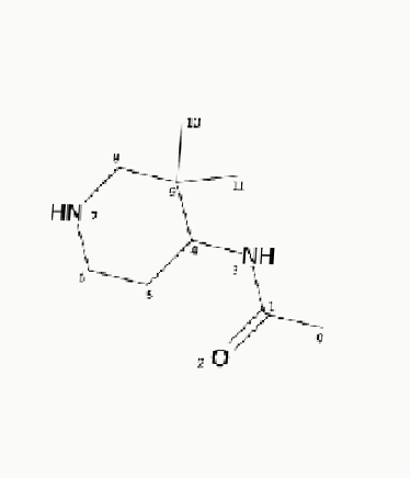 CC(=O)NC1CCNCC1(C)C